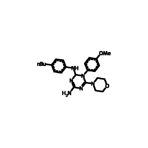 CCCCc1ccc(NC2N=C(N)N=C(N3CCOCC3)N2c2ccc(OC)cc2)cc1